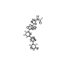 CC(=O)Nc1nnc(S(=O)(=O)NC(=O)c2cccc(-c3nnc(-c4cncc(F)c4)s3)n2)s1